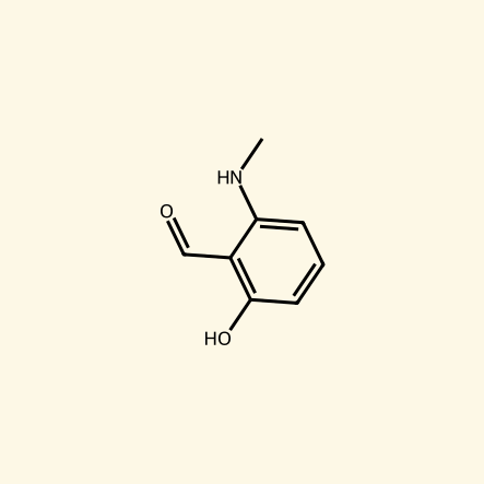 CNc1cccc(O)c1C=O